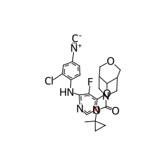 [C-]#[N+]c1ccc(Nc2ncnc(OC3C4COCC3CN(C(=O)OC3(C)CC3)C4)c2F)c(Cl)c1